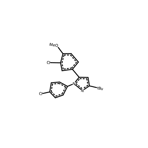 COc1ccc(-c2cc(C(C)(C)C)nn2-c2ccc(Cl)cc2)cc1Cl